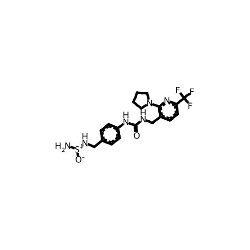 N[S+]([O-])NCc1ccc(NC(=O)NCc2ccc(C(F)(F)F)nc2N2CCCC2)cc1